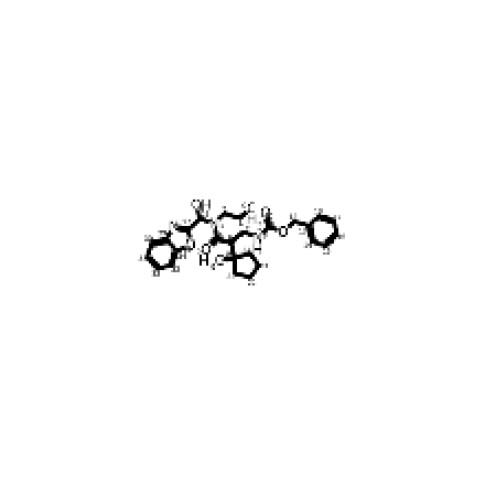 CCCN(C(=O)C(CNC(=O)OCc1ccccc1)C1(C)CCCC1)C(O)c1nc2ccccc2o1